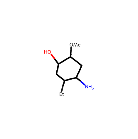 CCC1CC(O)C(OC)CC1N